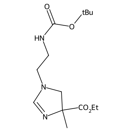 CCOC(=O)C1(C)CN(CCNC(=O)OC(C)(C)C)C=N1